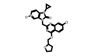 O=c1n(Cc2nc(OCC3CCCO3)c3ccc(Cl)cc3n2)c2c[n+]([O-])ccc2n1C1CC1